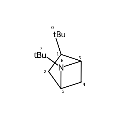 CC(C)(C)C1CC2CC1N2C(C)(C)C